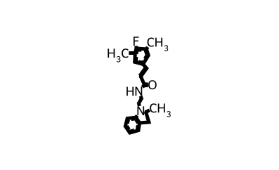 Cc1cc(/C=C/C(=O)NCCN2c3ccccc3CC2C)cc(C)c1F